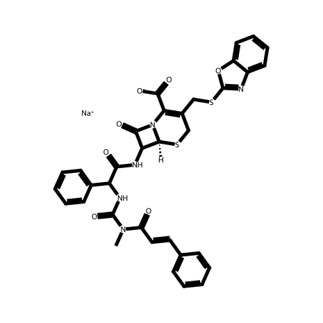 CN(C(=O)C=Cc1ccccc1)C(=O)NC(C(=O)NC1C(=O)N2C(C(=O)[O-])=C(CSc3nc4ccccc4o3)CS[C@@H]12)c1ccccc1.[Na+]